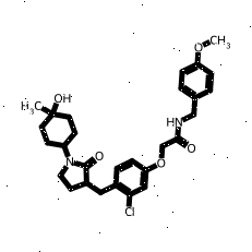 COc1ccc(CNC(=O)COc2ccc(CC3CCN(C4CCC(C)(O)CC4)C3=O)c(Cl)c2)cc1